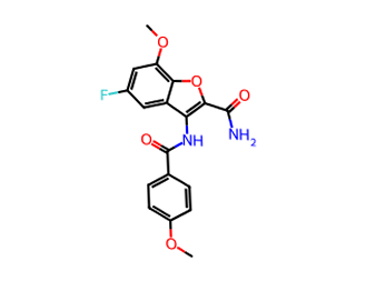 COc1ccc(C(=O)Nc2c(C(N)=O)oc3c(OC)cc(F)cc23)cc1